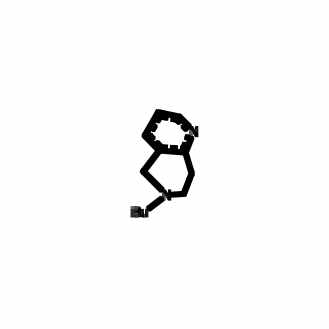 CCC(C)N1CCc2ncccc2C1